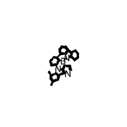 Cc1cc(C)c2c(c1)c1nccc3c1n2-c1cccc2c1B3n1c3ccccc3c3cccc-2c31